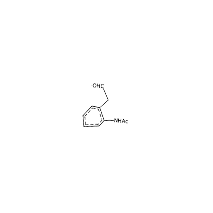 CC(=O)Nc1ccccc1C[C]=O